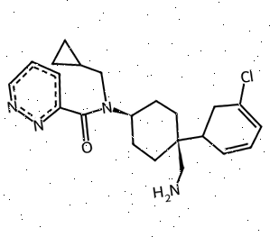 NC[C@]1(C2C=CC=C(Cl)C2)CC[C@H](N(CC2CC2)C(=O)c2cccnn2)CC1